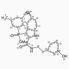 COP(=O)(c1cc(C)cc(C)c1)c1c(C(=O)NCCc2ccc[n+](O)c2)[nH]c2ccc(Cl)cc12